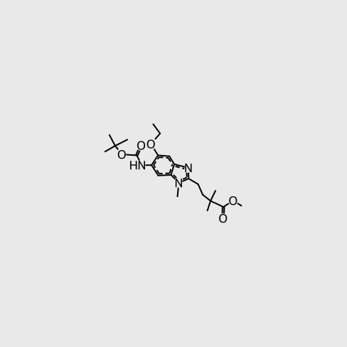 CCOc1cc2nc(CCC(C)(C)C(=O)OC)n(C)c2cc1NC(=O)OC(C)(C)C